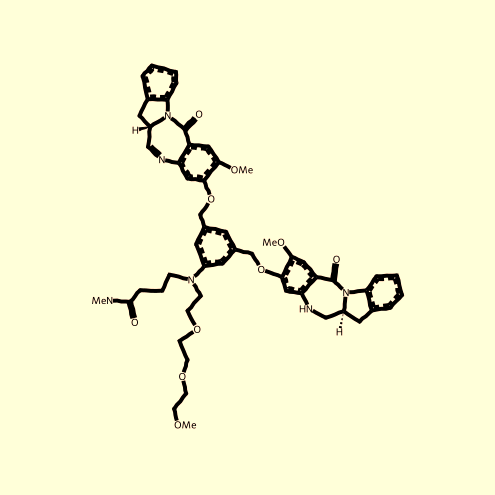 CNC(=O)CCCN(CCOCCOCCOC)c1cc(COc2cc3c(cc2OC)C(=O)N2c4ccccc4C[C@H]2C=N3)cc(COc2cc3c(cc2OC)C(=O)N2c4ccccc4C[C@H]2CN3)c1